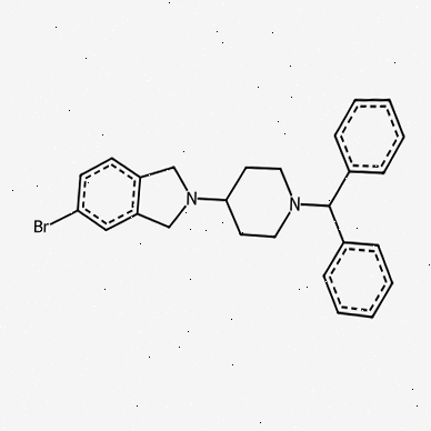 Brc1ccc2c(c1)CN(C1CCN(C(c3ccccc3)c3ccccc3)CC1)C2